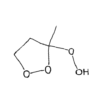 CC1(OO)CCOO1